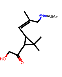 CONCC(C)=CC1C(C(=O)CO)C1(C)C